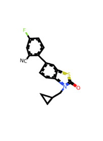 N#Cc1cc(F)ccc1-c1ccc2c(c1)sc(=O)n2CC1CC1